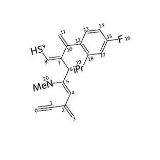 C#CC(=C)/C=C(/C/C(=C/S)C(=C)c1ccc(F)cc1C(C)C)NC